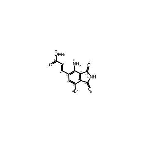 COC(=O)C=Cc1cc(Br)c2c(c1N)C(=O)NC2=O